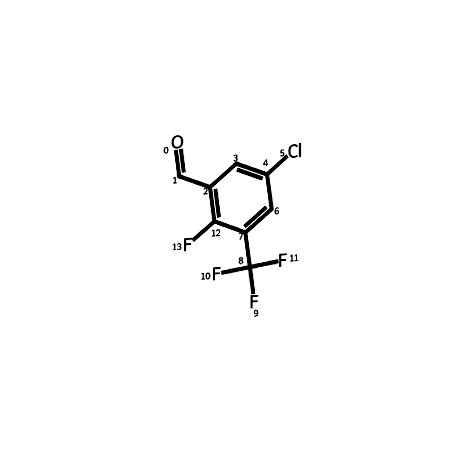 O=Cc1cc(Cl)cc(C(F)(F)F)c1F